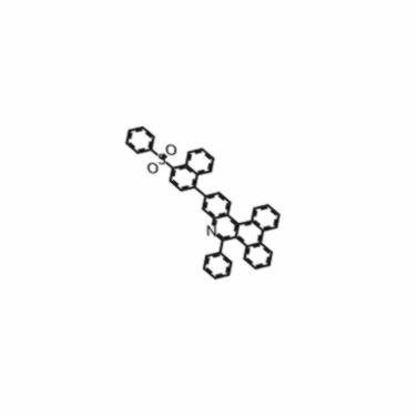 O=S(=O)(c1ccccc1)c1ccc(-c2ccc3c(c2)nc(-c2ccccc2)c2c4ccccc4c4ccccc4c32)c2ccccc12